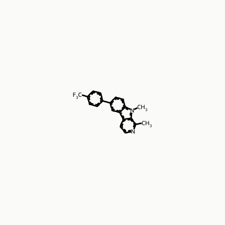 Cc1nccc2c3cc(-c4ccc(C(F)(F)F)cc4)ccc3n(C)c12